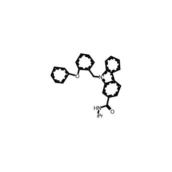 CC(C)NC(=O)c1ccc2c3ccccc3n(Cc3ccccc3Oc3ccccc3)c2c1